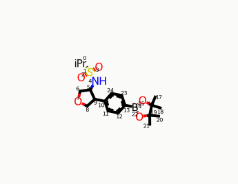 CC(C)S(=O)(=O)NC1COCC1c1ccc(B2OC(C)(C)C(C)(C)O2)cc1